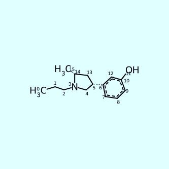 CCCN1C[C@@H](c2cccc(O)c2)C[C@H]1C